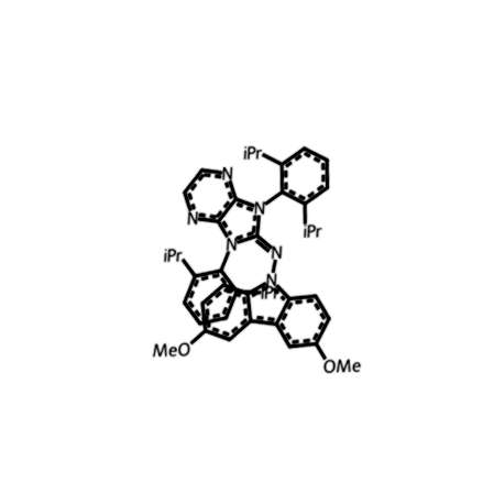 COc1ccc2c(c1)c1cc(OC)ccc1n2N=c1n(-c2c(C(C)C)cccc2C(C)C)c2nccnc2n1-c1c(C(C)C)cccc1C(C)C